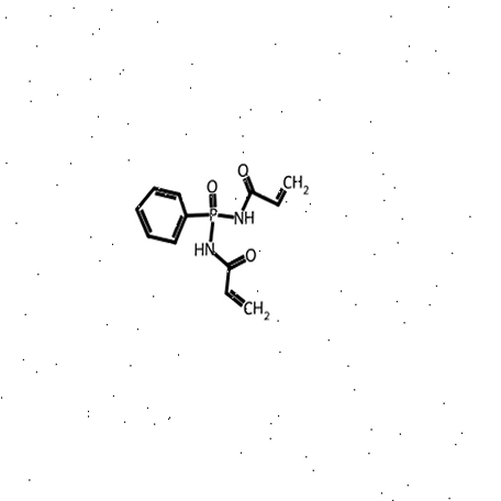 C=CC(=O)NP(=O)(NC(=O)C=C)c1ccccc1